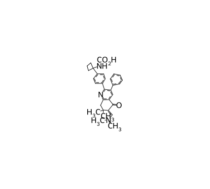 CN(C)C=C1C(=O)c2cc(-c3ccccc3)c(-c3ccc(C4(NC(=O)O)CCC4)cc3)nc2CC1(C)C